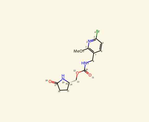 COc1nc(Br)ccc1CNC(=O)OC[C@@H]1CCC(=O)N1